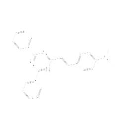 CN(C)c1ccc(C=Cc2nc(-c3ccccc3)nc(-c3ccccc3)n2)cc1